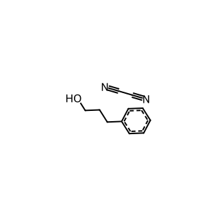 N#CC#N.OCCCc1ccccc1